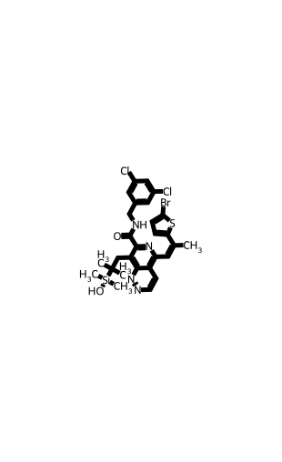 C/C(=C/c1nc(C(=O)NCc2cc(Cl)cc(Cl)c2)c(CC(C)(C)[Si](C)(C)O)c2nnccc12)c1ccc(Br)s1